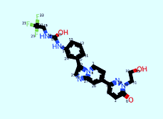 O=c1ccc(-c2ccn3c(-c4cccc(NC(O)NCC(F)(F)F)c4)cnc3c2)nn1CCO